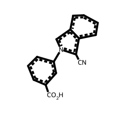 N#Cc1c2ccccc2cn1-c1cccc(C(=O)O)c1